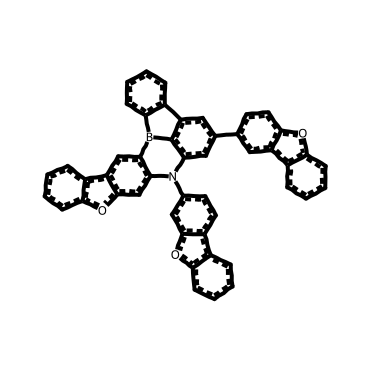 c1ccc2c(c1)B1c3cc4c(cc3N(c3ccc5c(c3)oc3ccccc35)c3cc(-c5ccc6oc7ccccc7c6c5)cc-2c31)oc1ccccc14